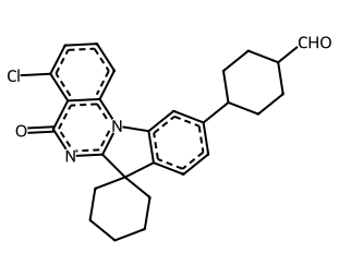 O=CC1CCC(c2ccc3c(c2)-n2c(nc(=O)c4c(Cl)cccc42)C32CCCCC2)CC1